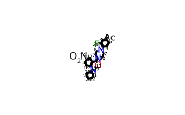 CC(=O)c1ccc(N2CCN(C(=O)c3cc([N+](=O)[O-])ccc3N(C)C3CCCCC3)CC2)c(F)c1